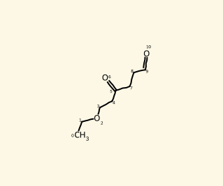 CCOCCC(=O)CCC=O